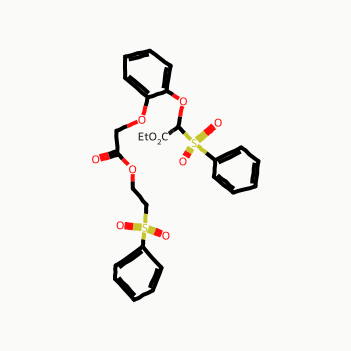 CCOC(=O)C(Oc1ccccc1OCC(=O)OCCS(=O)(=O)c1ccccc1)S(=O)(=O)c1ccccc1